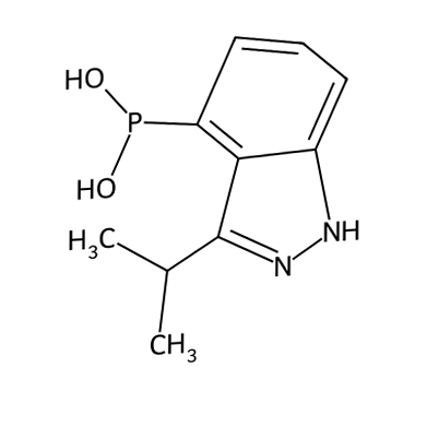 CC(C)c1n[nH]c2cccc(P(O)O)c12